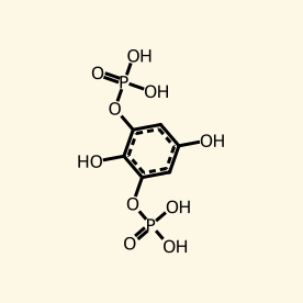 O=P(O)(O)Oc1cc(O)cc(OP(=O)(O)O)c1O